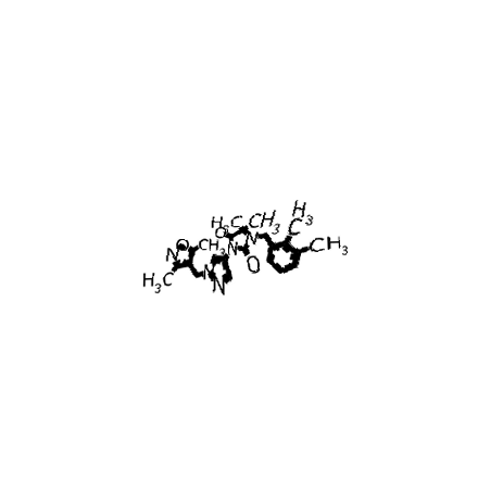 Cc1cccc(CN2C(=O)N(c3cnn(Cc4c(C)noc4C)c3)C(=O)C2(C)C)c1C